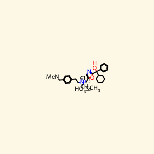 CNCc1ccc(CC[N+](C)(C)Cc2cnc(C(O)(c3ccccc3)C3CCCCC3)o2)cc1.CS(=O)(=O)O